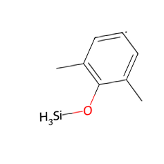 Cc1c[c]cc(C)c1O[SiH3]